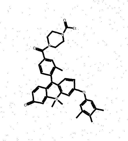 CCC(=O)N1CCN(C(=O)c2ccc(C3=C4C=CC(=O)C=C4[Si](C)(C)c4cc(Oc5cc(C)c(C)c(C)c5)ccc43)c(C)c2)CC1